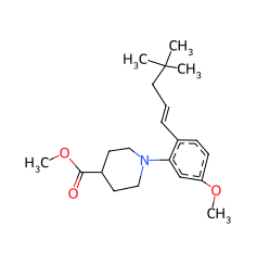 COC(=O)C1CCN(c2cc(OC)ccc2/C=C/CC(C)(C)C)CC1